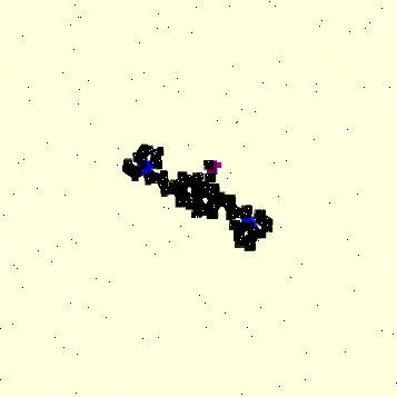 CC[N+](CC)(CC)CCCc1ccc2cc(CCC[N+](CC)(CC)CC)ccc2c1.[I-].[I-]